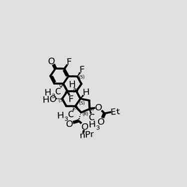 CCCOC(=O)[C@@H]1[C@@]2(C)C[C@H](O)[C@@]3(F)[C@@H](C[C@H](F)C4=C(F)C(=O)C=C[C@@]43C)[C@@H]2C[C@]1(C)OC(=O)CC